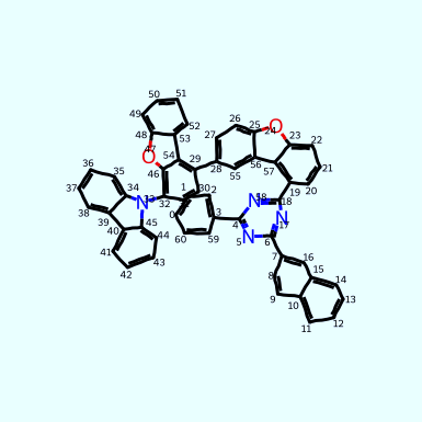 c1ccc(-c2nc(-c3ccc4ccccc4c3)nc(-c3cccc4oc5ccc(-c6ccc(-n7c8ccccc8c8ccccc87)c7oc8ccccc8c67)cc5c34)n2)cc1